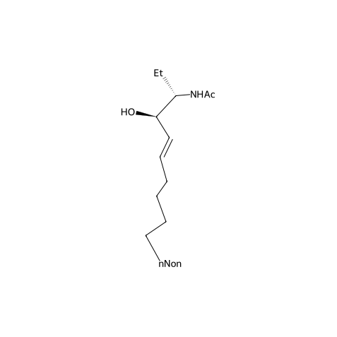 CCCCCCCCCCCCC/C=C/[C@@H](O)[C@H](CC)NC(C)=O